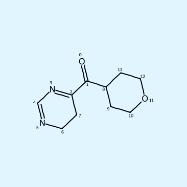 O=C(C1=NC=NCC1)C1CCOCC1